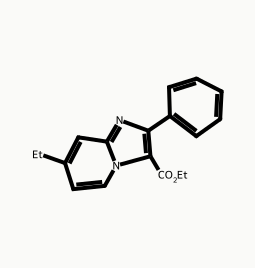 CCOC(=O)c1c(-c2ccccc2)nc2cc(CC)ccn12